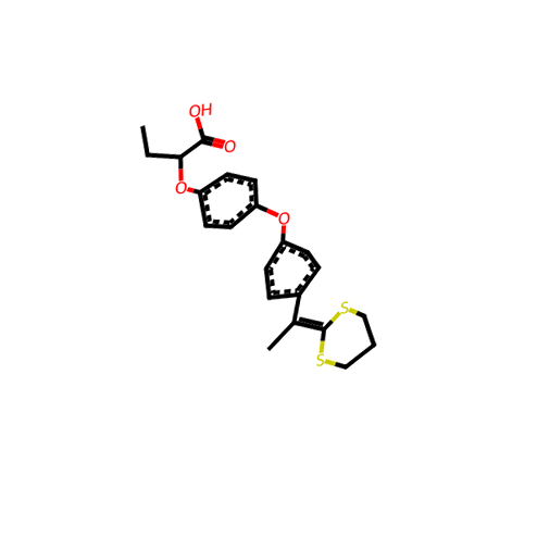 CCC(Oc1ccc(Oc2ccc(C(C)=C3SCCCS3)cc2)cc1)C(=O)O